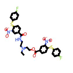 CCN(CCNC(=O)c1ccc(Sc2ccc(F)cc2)c([N+](=O)[O-])c1)CCOC(=O)c1ccc(Sc2ccc(F)cc2)c([N+](=O)[O-])c1